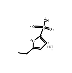 CCc1ccc(S(=O)(=O)O)o1.Cl